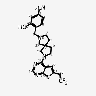 N#Cc1ccc(CN2CCC3(CCN(c4ncnc5sc(CC(F)(F)F)cc45)C3)C2)c(O)c1